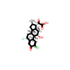 C[C@@H]1C[C@H]2[C@@H]3C[C@@H](F)C4=CC(=O)C(Cl)=C[C@]4(C)[C@H]3[C@@H](O)C[C@]2(C)[C@H]1C(=O)C(=O)O